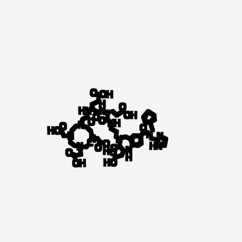 O=C(O)CCC(NC(=O)CN1CCN(CC(=O)O)CCN(CC(=O)O)CCN(CC(=O)O)CC1)C(=O)N[C@@H](CCC(=O)O)C(=O)NCCCN1Cc2cc(C(=O)N(Cc3ccccc3)Cc3ncc[nH]3)ccc2NC(CC(=O)O)C1=O